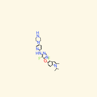 Cc1cc2c(F)c(Oc3ncnc(Nc4ccc(N5CCNCC5)cn4)c3F)ccc2n1C(C)C